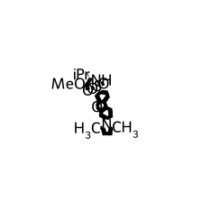 COC(=O)[C@@H](NS(=O)(=O)c1ccc2c(c1)oc1cc(-n3c(C)ccc3C)ccc12)C(C)C